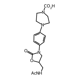 CC(=O)NCC1CN(c2ccc(N3CCN(C(=O)O)CC3)cc2)C(=O)O1